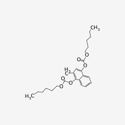 CCCCCCOC(=O)Oc1cc(C)c(OC(=O)OCCCCCC)c2ccccc12